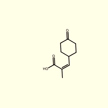 CC(=CC1CCC(=O)CC1)C(=O)O